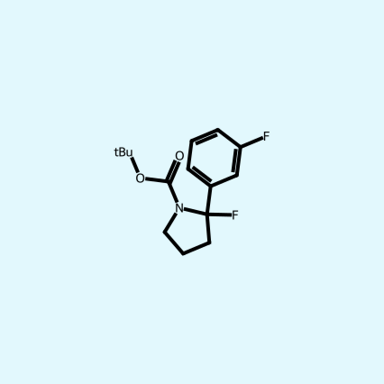 CC(C)(C)OC(=O)N1CCCC1(F)c1cccc(F)c1